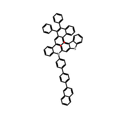 c1ccc(-c2c(-c3ccccc3)c3cc(-c4ccccc4N(c4ccc(-c5ccc(-c6ccc7ccccc7c6)cc5)cc4)c4ccc5c(c4)sc4ccccc45)ccc3c3ccccc23)cc1